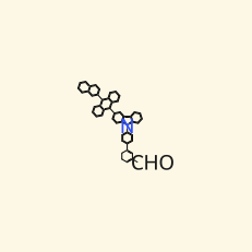 O=CC1=CCCC(c2ccc(-n3c4ccccc4c4cc(-c5c6ccccc6c(-c6ccc7ccccc7c6)c6ccccc56)ccc43)cc2)=C1